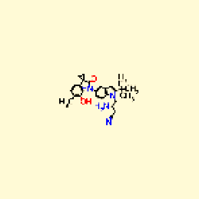 Cc1ccc(C2(C(=O)Nc3ccc4c(c3)cc(C(C)(C)C)n4CC(N)CC#N)CC2)cc1O